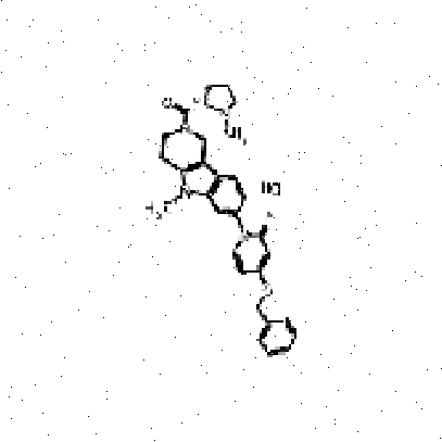 CN1CCC[C@H]1C(=O)N1CCc2c(c3ccc(-n4ccc(OCc5ccccc5)cc4=O)cc3n2C)C1.Cl